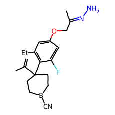 C=C(C)C1(c2c(F)cc(OC/C(C)=N/N)cc2CC)CCB(C#N)CC1